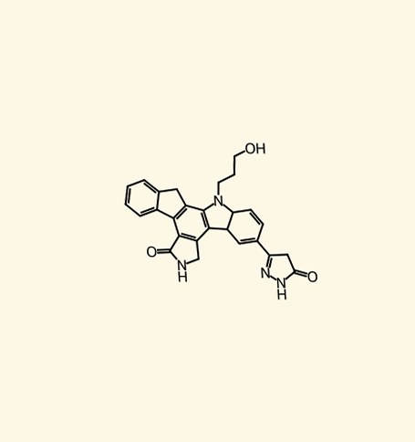 O=C1CC(C2=CC3c4c5c(c6c(c4N(CCCO)C3C=C2)Cc2ccccc2-6)C(=O)NC5)=NN1